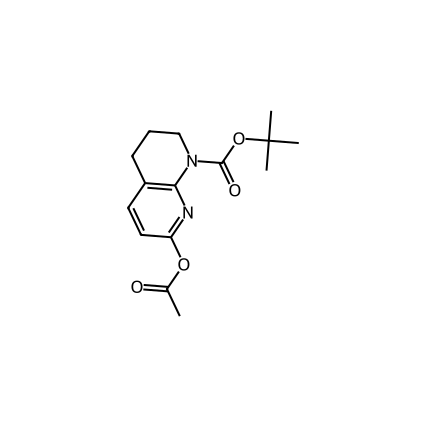 CC(=O)Oc1ccc2c(n1)N(C(=O)OC(C)(C)C)CCC2